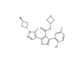 Cc1ccc(Cl)c(-c2noc(-c3cnn([C@H]4C[C@H](C)C4)c3C)c2C(=O)OC2COC2)c1